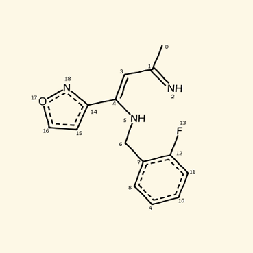 CC(=N)/C=C(\NCc1ccccc1F)c1ccon1